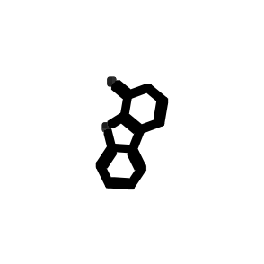 O=C1CC=Cc2c1oc1ccccc21